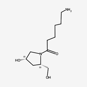 NCCCCCC(=O)N1C[C@@H](O)C[C@H]1CO